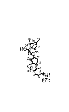 CC(=O)NN1C=CC2=C(C1)c1ccc(OC[C@H](CC(C)C)N(C(=O)O)C(C)(C)C)c(F)c1OC2